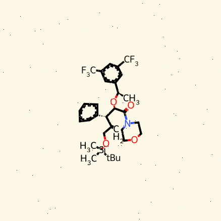 C=C(CO[Si](C)(C)C(C)(C)C)[C@H](c1ccccc1)[C@@H](O[C@H](C)c1cc(C(F)(F)F)cc(C(F)(F)F)c1)C(=O)N1CCOCC1